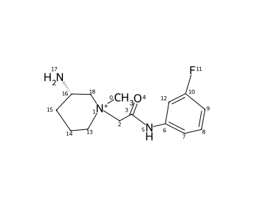 C[N+]1(CC(=O)Nc2cccc(F)c2)CCC[C@H](N)C1